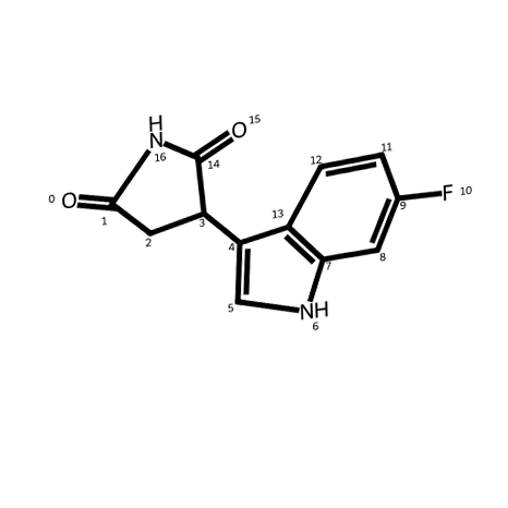 O=C1CC(c2c[nH]c3cc(F)ccc23)C(=O)N1